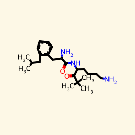 CC(C)Cc1ccccc1CC(N)C(=O)NC(CCCCN)C(=O)C(C)(C)C